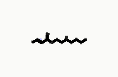 C/C=C/C(=O)OCCNCCCC